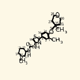 Cc1cc(-c2nc(NC(=O)NC3CCCN(C)C3)cs2)ccc1OCC1(C)CCOCC1